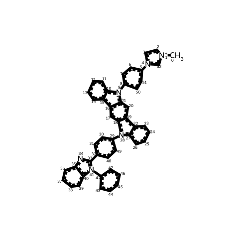 C[n+]1ccn(-c2ccc(-n3c4ccccc4c4cc5c(cc43)c3ccccc3n5-c3ccc(-c4nc5ccccc5n4-c4ccccc4)cc3)cc2)c1